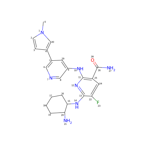 Cn1ccc(-c2cncc(Nc3nc(NC4CCCCC4N)c(F)cc3C(N)=O)c2)c1